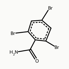 NC(=O)c1c(Br)cc(Br)cc1Br